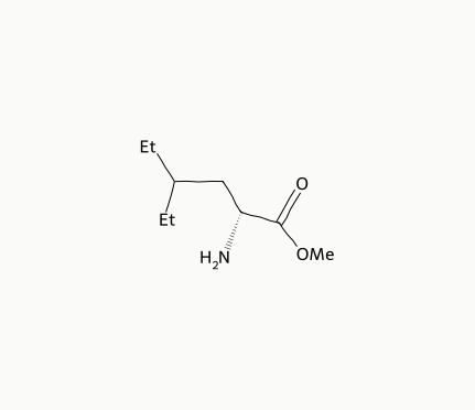 CCC(CC)C[C@@H](N)C(=O)OC